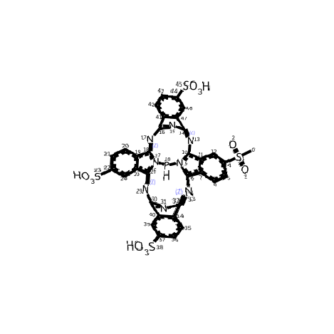 CS(=O)(=O)c1ccc2c3n4c(c2c1)/N=C1N=C(/N=c2/c5ccc(S(=O)(=O)O)cc5/c(n2P4)=N/C2=NC(=N\3)/c3ccc(S(=O)(=O)O)cc32)c2ccc(S(=O)(=O)O)cc2\1